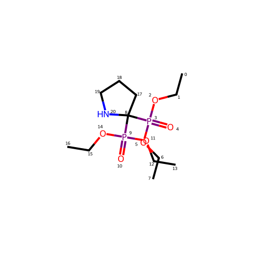 CCOP(=O)(OCC)C1(P(=O)(OCC)OCC)CCCN1